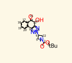 CC(C)(C)OC(=O)N1CC(n2nc3c(n2)C(O)C(=O)c2ccccc2-3)C1